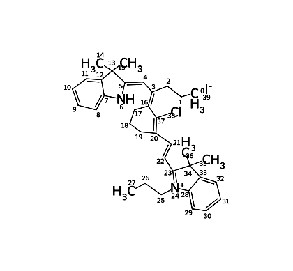 CCCC(C=C1Nc2ccccc2C1(C)C)=C1CCCC(C=CC2=[N+](CCC)c3ccccc3C2(C)C)=C1Cl.[I-]